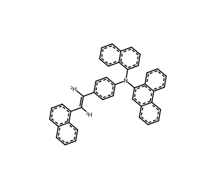 [2H]/C(=C(/[2H])c1cccc2ccccc12)c1ccc(N(c2cccc3ccccc23)c2cc3ccccc3c3ccccc23)cc1